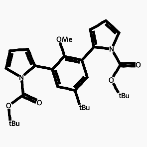 COc1c(-c2cccn2C(=O)OC(C)(C)C)cc(C(C)(C)C)cc1-c1cccn1C(=O)OC(C)(C)C